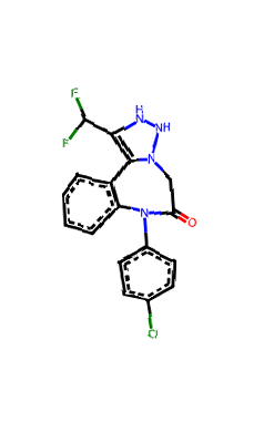 O=C1CN2NNC(C(F)F)=C2c2ccccc2N1c1ccc(Cl)cc1